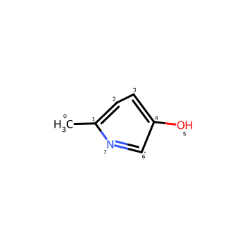 Cc1ccc(O)[c]n1